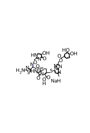 Cc1cc(SCC2=C(C(=O)O)N3C(=O)[C@@H](NC(=O)/C(=N\OCc4nc(=O)c(O)c[nH]4)c4csc(N)n4)[C@H]3SC2)n2nc(COC(=O)c3ccc(O)c(O)c3)nc2n1.[NaH]